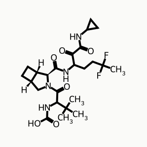 CC(F)(F)CCC(NC(=O)[C@@H]1[C@H]2CC[C@H]2CN1C(=O)C(NC(=O)O)C(C)(C)C)C(=O)C(=O)NC1CC1